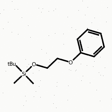 CC(C)(C)[Si](C)(C)OCCOc1c[c]ccc1